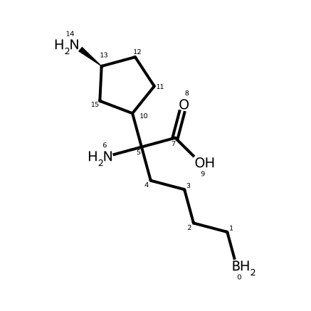 BCCCCC(N)(C(=O)O)C1CC[C@H](N)C1